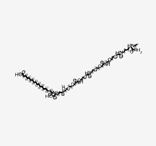 CCN[C@@H](CCCCNC(=O)COCCOCCNC(=O)COCCOCCNC(=O)COCCONC(=O)COCCOCCNC(=O)CC[C@H](NC(=O)CCCCCCCCCCCCCCCCC(=O)O)C(=O)O)C(=O)P